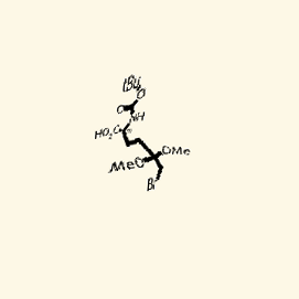 COC(CBr)(CC[C@H](NC(=O)OC(C)(C)C)C(=O)O)OC